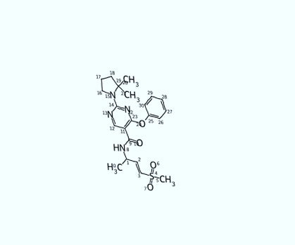 CC(C=CS(C)(=O)=O)NC(=O)c1cnc(N2CCCC2(C)C)nc1Oc1ccccc1